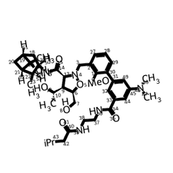 COc1c(CN2O[C@@H](CO)[C@@H]([C@H](C)O)[C@H]2C(=O)N[C@H]2C[C@H]3C[C@@H]([C@@H]2C)C3(C)C)cccc1-c1cc(C(=O)NCCNC(=O)CC(C)C)cc(N(C)C)c1